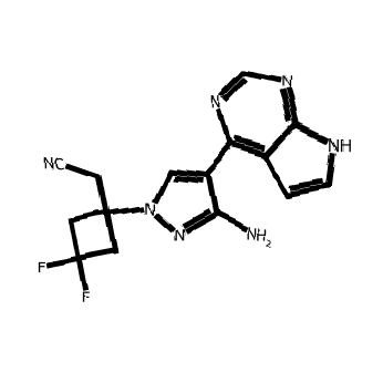 N#CCC1(n2cc(-c3ncnc4[nH]ccc34)c(N)n2)CC(F)(F)C1